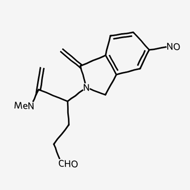 C=C(NC)C(CCC=O)N1Cc2cc(N=O)ccc2C1=C